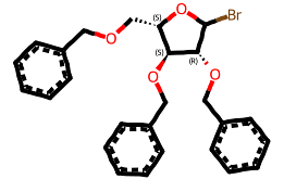 BrC1O[C@@H](COCc2ccccc2)[C@H](OCc2ccccc2)[C@H]1OCc1ccccc1